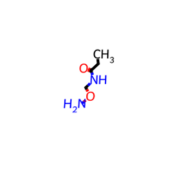 CCC(=O)NCON